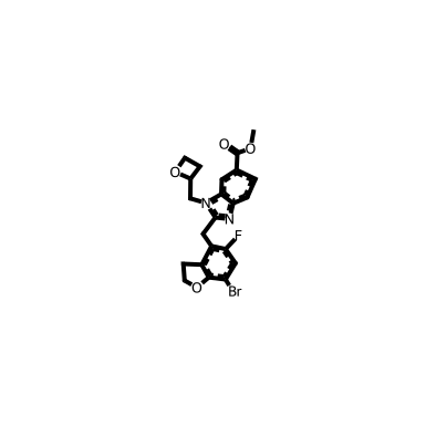 COC(=O)c1ccc2nc(Cc3c(F)cc(Br)c4c3CCO4)n(CC3CCO3)c2c1